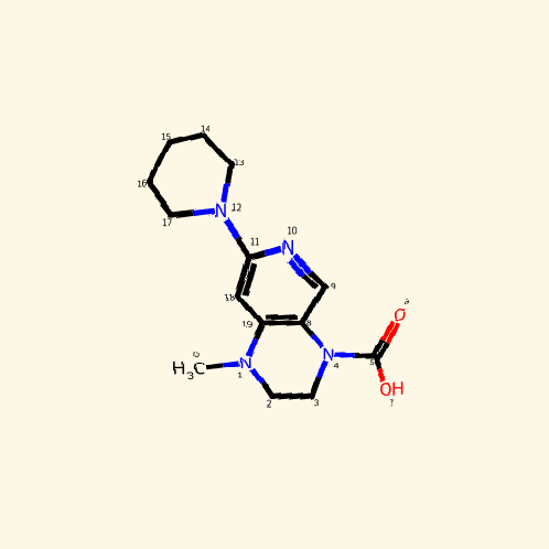 CN1CCN(C(=O)O)c2cnc(N3CCCCC3)cc21